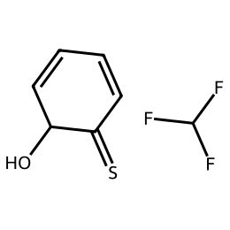 FC(F)F.OC1C=CC=CC1=S